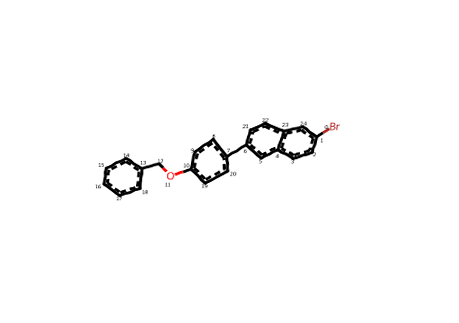 Brc1ccc2cc(-c3ccc(OCc4ccccc4)cc3)ccc2c1